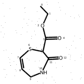 CCOC(=O)C1SC=CCNC1=O